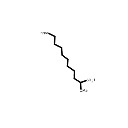 CCCCCCCCCCCCCCCCCC(OC)S(=O)(=O)O